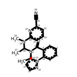 CCN(C(=O)c1ccccc1-n1nccn1)C(C)N(C)c1cccc(C#N)n1